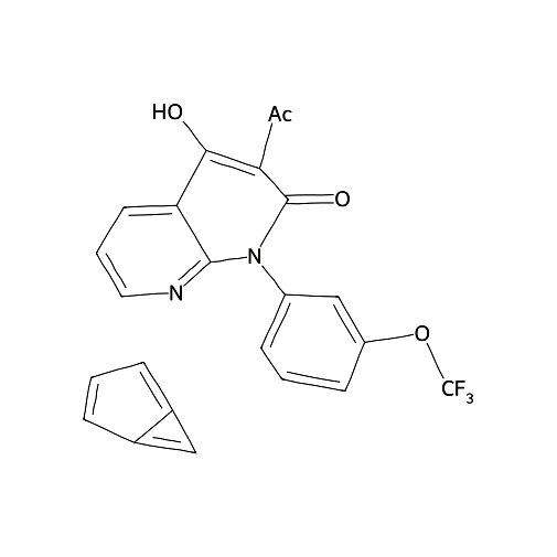 CC(=O)c1c(O)c2cccnc2n(-c2cccc(OC(F)(F)F)c2)c1=O.c1cc2cc-2c1